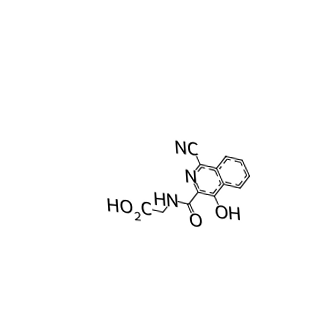 N#Cc1nc(C(=O)NCC(=O)O)c(O)c2ccccc12